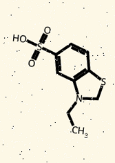 CCN1CSc2ccc(S(=O)(=O)O)cc21